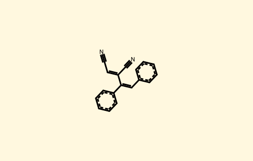 N#CC=C(C#N)C(=Cc1ccccc1)c1ccccc1